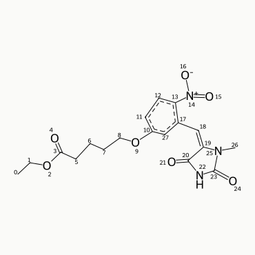 CCOC(=O)CCCCOc1ccc([N+](=O)[O-])c(/C=C2\C(=O)NC(=O)N2C)c1